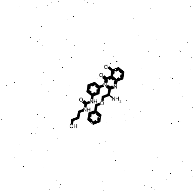 N[C@@H](COCc1ccccc1)c1nc2cccc(Cl)c2c(=O)n1-c1cccc(NC(=O)NCCCO)c1